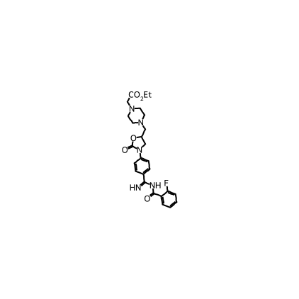 CCOC(=O)CN1CCN(CC2CN(c3ccc(C(=N)NC(=O)c4ccccc4F)cc3)C(=O)O2)CC1